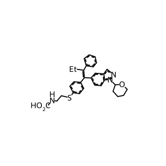 CCC(=C(c1ccc(SCCNC(=O)O)cc1)c1ccc2c(cnn2C2CCCCO2)c1)c1ccccc1